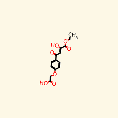 CCOC(=O)C(O)=CC(=O)c1ccc(OCC(=O)O)cc1